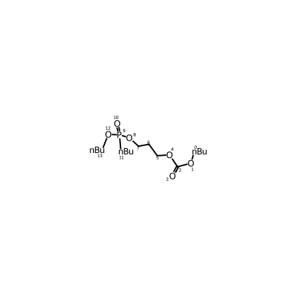 CCCCOC(=O)OCCCOP(=O)(CCCC)OCCCC